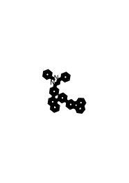 c1ccc(-c2cc(-c3ccc(-c4ccc5ccccc5c4-c4cccc(-c5ccc6c(c5)-c5cccc7cccc-6c57)c4)cc3)nc(-c3ccccc3)n2)cc1